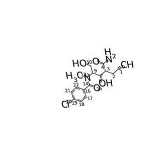 C#CCC(C(N)=O)C(O)C(CO)N(C)C(=O)c1ccc(Cl)cc1